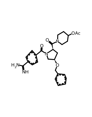 CC(=O)OC1CCN(C(=O)[C@H]2C[C@@H](OCc3ccccc3)CN2C(=O)c2ccc(C(=N)N)cc2)CC1